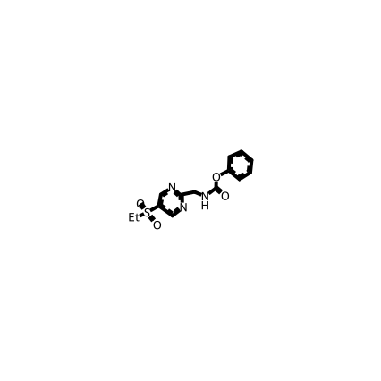 CCS(=O)(=O)c1cnc(CNC(=O)Oc2ccccc2)nc1